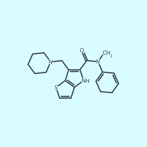 CN(C(=O)c1[nH]c2ccsc2c1CN1CCCCC1)C1=CCCC=C1